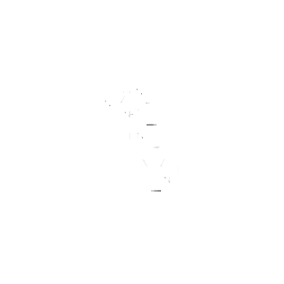 NC(=O)[C@H](NC(=O)NC1CCC1)C(=O)Nc1ccc(N2CCOCC2=O)c(C(F)(F)F)c1